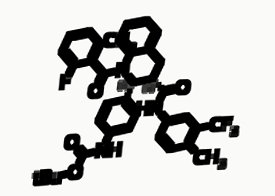 Cc1ccc(NC(=O)[C@H]2Cc3ccccc3N(C(=O)c3c(C)cccc3F)[C@H]2c2ccc(NC(=O)OC(C)(C)C)cc2)cc1C(F)(F)F